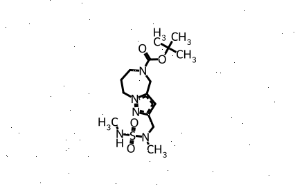 CNS(=O)(=O)N(C)Cc1cc2n(n1)CCCN(C(=O)OC(C)(C)C)C2